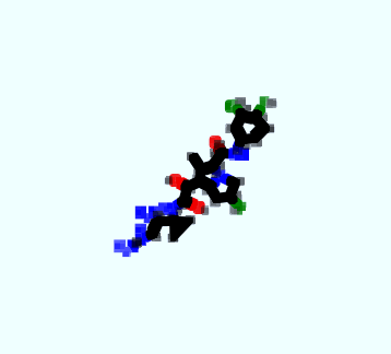 Cc1c(C(=O)C(=O)NC2(/C(N)=C/NN)CC2)c2n(c1C(=O)Nc1ccc(F)c(Cl)c1)CC(F)C2